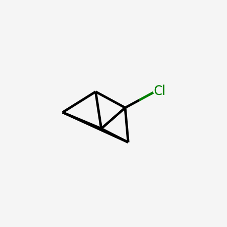 ClC12C3C4C1C432